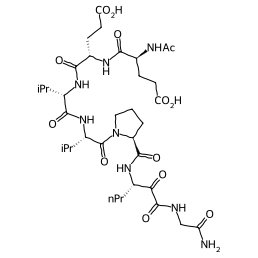 CCC[C@H](NC(=O)[C@@H]1CCCN1C(=O)[C@@H](NC(=O)[C@@H](NC(=O)[C@H](CCC(=O)O)NC(=O)[C@H](CCC(=O)O)NC(C)=O)C(C)C)C(C)C)C(=O)C(=O)NCC(N)=O